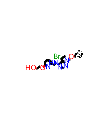 C[Si](C)(C)CCOCn1cc(Br)c2c(NCc3cccc(OCCO)n3)ncnc21